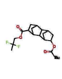 CCC(C)C(=O)OC1CC2CC1C1C3CC(CC3C(=O)OCC(C)(F)F)C21